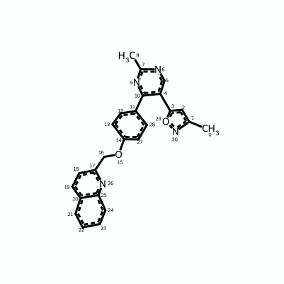 Cc1cc(-c2cnc(C)nc2-c2ccc(OCc3ccc4ccccc4n3)cc2)on1